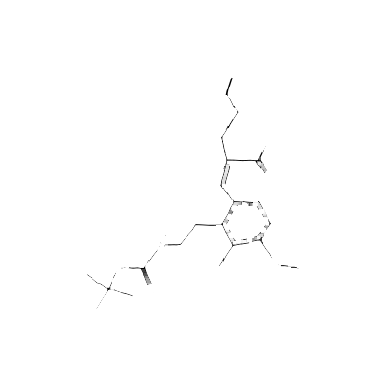 CCCCC(=Cc1ccc(OC)c(C)c1CCNC(=O)OC(C)(C)C)C(=O)O